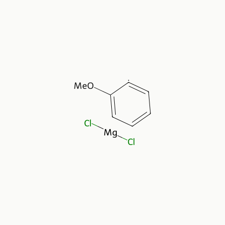 COc1[c]cccc1.[Cl][Mg][Cl]